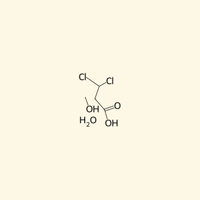 CO.O.O=C(O)CC(Cl)Cl